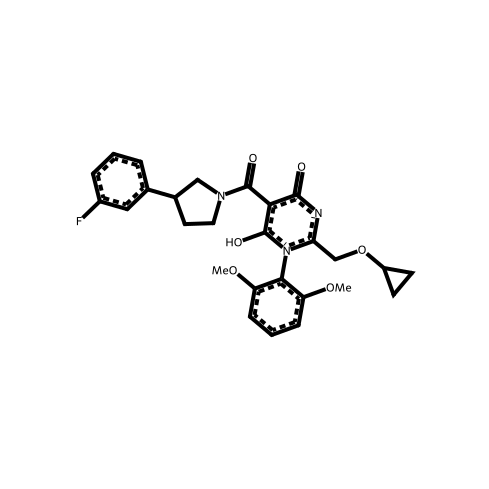 COc1cccc(OC)c1-n1c(COC2CC2)nc(=O)c(C(=O)N2CCC(c3cccc(F)c3)C2)c1O